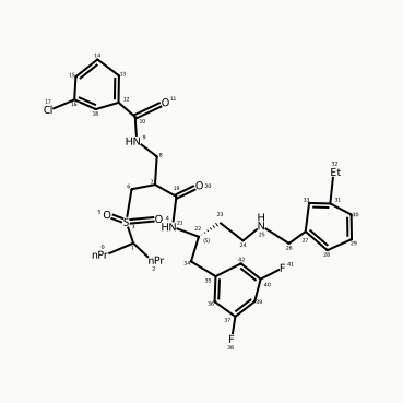 CCCC(CCC)S(=O)(=O)CC(CNC(=O)c1cccc(Cl)c1)C(=O)N[C@H](CCNCc1cccc(CC)c1)Cc1cc(F)cc(F)c1